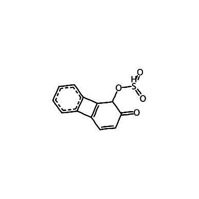 O=C1C=CC2=C(c3ccccc32)C1O[SH](=O)=O